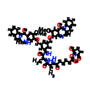 COc1cc2c(cc1OCc1cc(COc3cc4c(cc3OC)C(=O)N3c5ccccc5C[C@H]3CN4)cc(NC(=O)C(C)NC(=O)C(C)NC(=O)CCCCC(=O)ON3C(=O)CCC3=O)c1)N=C[C@H]1Cc3ccccc3N1C2=O